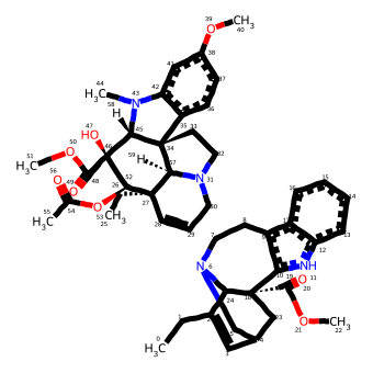 CCC1=CC2CN3CCc4c([nH]c5ccccc45)[C@@](C(=O)OC)(C2)C13.CC[C@]12C=CCN3CC[C@@]4(c5ccc(OC)cc5N(C)[C@H]4[C@@](O)(C(=O)OC)[C@@H]1OC(C)=O)[C@@H]32